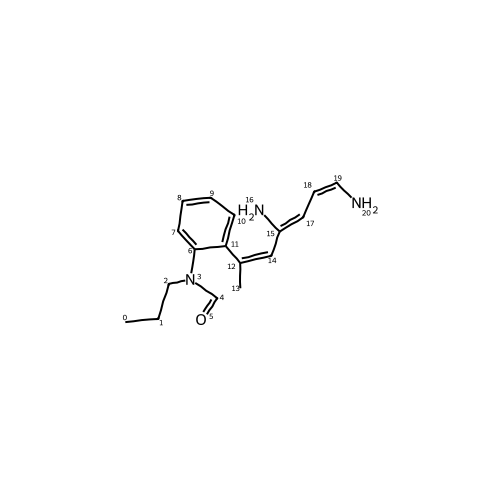 CCCN(C=O)c1ccccc1\C(C)=C/C(N)=C/C=C\N